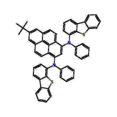 CC(C)(C)c1cc2ccc3c(N(c4ccccc4)c4cccc5c4sc4ccccc45)cc(N(c4ccccc4)c4cccc5c4sc4ccccc45)c4ccc(c1)c2c34